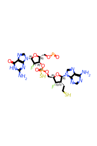 Nc1nc2c(ncn2[C@@H]2O[C@H](COP=O)[C@@H](O[P@](=O)(S)OC[C@H]3O[C@@H](n4cnc5c(N)ncnc54)[C@H](CCS)[C@@H]3F)[C@H]2F)c(=O)[nH]1